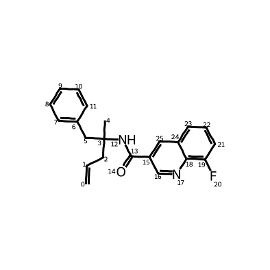 C=CCC(C)(Cc1ccccc1)NC(=O)c1cnc2c(F)cccc2c1